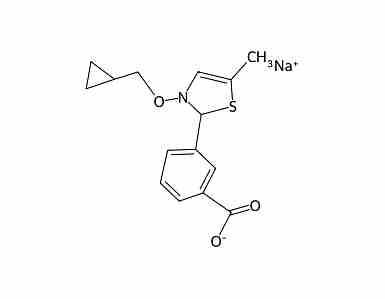 CC1=CN(OCC2CC2)C(c2cccc(C(=O)[O-])c2)S1.[Na+]